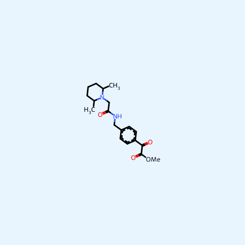 COC(=O)C(=O)c1ccc(CNC(=O)CN2C(C)CCCC2C)cc1